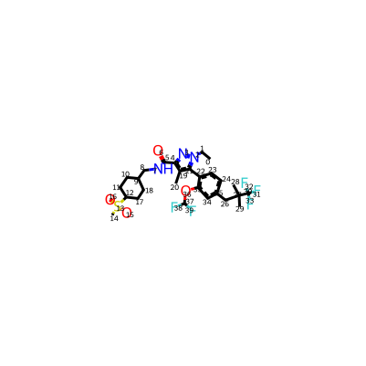 CCn1nc(C(=O)NCC2CCC(S(C)(=O)=O)CC2)c(C)c1-c1ccc(CC(C)(C)C(F)(F)F)cc1OC(F)F